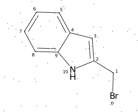 BrCc1cc2ccccc2[nH]1